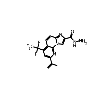 C=C(C)c1cc(C(F)(F)C(F)(F)F)c2ccc3nc(C(=O)NN)cn3c2n1